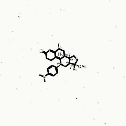 CC(=O)O[C@]1(C(C)=O)CC[C@H]2[C@@H]3C[C@H](C)C4=CC(=O)CCC4=C3[C@H](c3ccc(N(C)C)cc3)C[C@@]21C